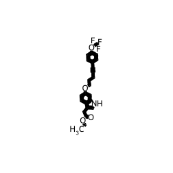 CCOC(=O)Cc1c[nH]c2cc(OCCCC#Cc3ccc(OC(F)(F)F)cc3)ccc12